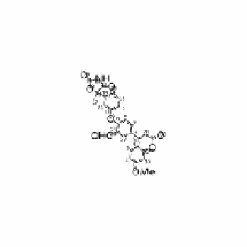 COc1ccc2c(-c3ccc(Oc4cccc([C@@]5(C)OC(=O)NC5=O)c4)c(C=O)c3)cc(=O)oc2c1